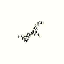 Cc1nc(-c2ccc(CCCO)cc2)sc1COc1ccc([C@H](CC(=O)O)c2ccon2)cc1